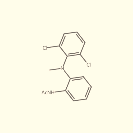 CC(=O)Nc1ccccc1N(C)c1c(Cl)cccc1Cl